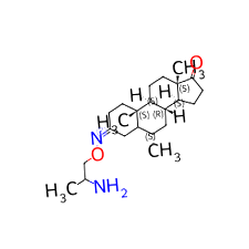 CC(N)CO/N=C1/CC[C@@]2(C)C(C1)[C@@H](C)C[C@@H]1[C@@H]2CC[C@]2(C)C(=O)CC[C@@H]12